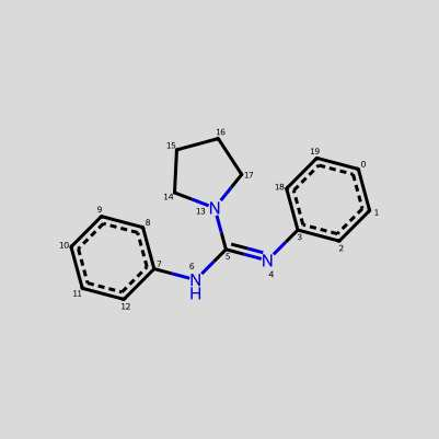 c1ccc(N=C(Nc2ccccc2)N2CCCC2)cc1